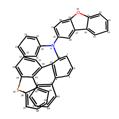 c1ccc(-c2cccc(N(c3ccccc3)c3ccc4oc5ccccc5c4c3)c2-c2cccc3sc4ccccc4c23)cc1